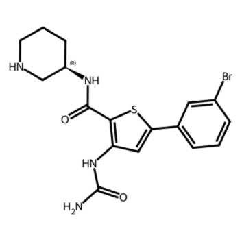 NC(=O)Nc1cc(-c2cccc(Br)c2)sc1C(=O)N[C@@H]1CCCNC1